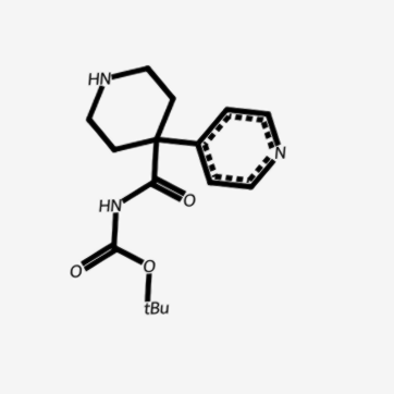 CC(C)(C)OC(=O)NC(=O)C1(c2ccncc2)CCNCC1